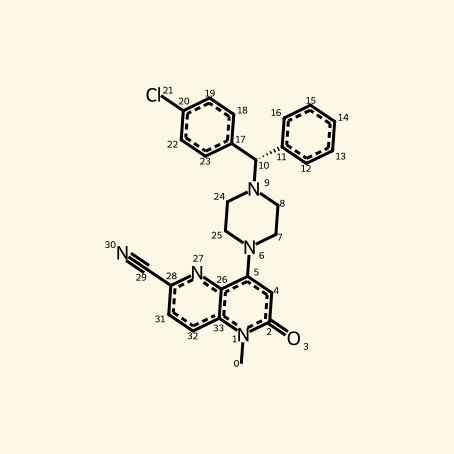 Cn1c(=O)cc(N2CCN([C@@H](c3ccccc3)c3ccc(Cl)cc3)CC2)c2nc(C#N)ccc21